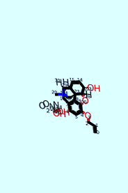 C=CCOc1ccc2c3c1O[C@H]1[C@@H](O)C=C[C@H]4[C@@H](C2)N(C)CC[C@@]341.O=[N+]([O-])O.O=[N+]([O-])O